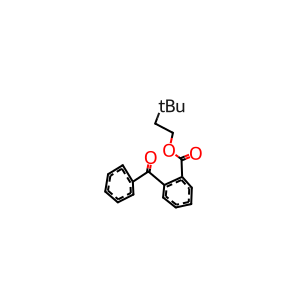 CC(C)(C)CCOC(=O)c1ccccc1C(=O)c1ccccc1